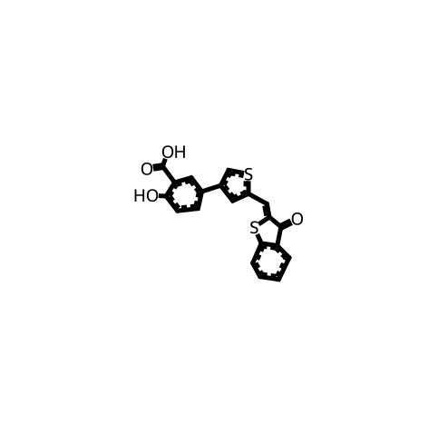 O=C(O)c1cc(-c2csc(C=C3Sc4ccccc4C3=O)c2)ccc1O